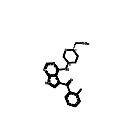 CC(=O)NC[C@@H]1CC[C@@H](Nc2ncnc3[nH]cc(C(=O)c4ccccc4C)c23)CO1